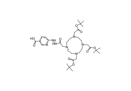 CC(C)(C)OC(=O)CN1CCN(CC(=O)NNc2ccc(C(=O)O)cn2)CCN(CC(=O)OC(C)(C)C)CCN(CC(=O)OC(C)(C)C)CC1